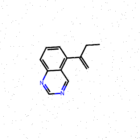 C=C(CC)c1cccc2ncncc12